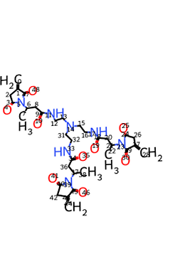 C=C1CC(=O)N(C(C)CC(=O)NCCN(CCNC(=O)CC(C)N2C(=O)CC(=C)C2=O)CCNC(=O)CC(C)N2C(=O)CC(=C)C2=O)C1=O